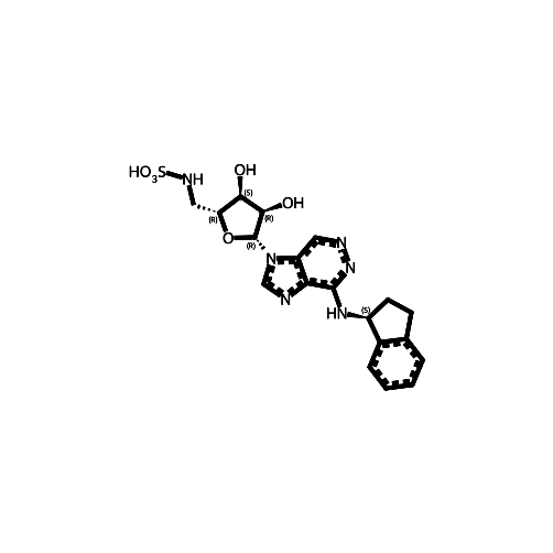 O=S(=O)(O)NC[C@H]1O[C@@H](n2cnc3c(N[C@H]4CCc5ccccc54)nncc32)[C@H](O)[C@@H]1O